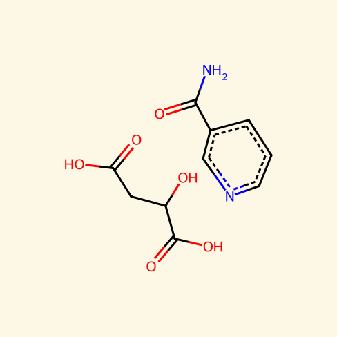 NC(=O)c1cccnc1.O=C(O)CC(O)C(=O)O